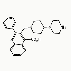 O=C(O)c1c(CN2CCC(N3CCNCC3)CC2)c(-c2ccccc2)nc2ccccc12